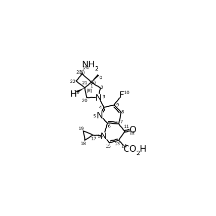 C[C@@]12CN(c3nc4c(cc3F)c(=O)c(C(=O)O)cn4C3CC3)C[C@@H]1C[C@@H]2N